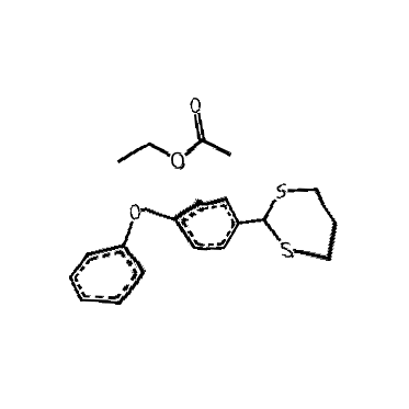 CCOC(C)=O.c1ccc(Oc2ccc(C3SCCCS3)cc2)cc1